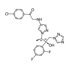 C[C@@H](n1cc(NCC(=O)c2ccc(Cl)cc2)cn1)[C@](O)(Cn1cncn1)c1ccc(F)cc1F